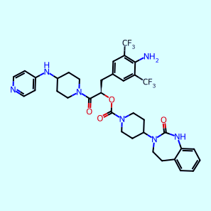 Nc1c(C(F)(F)F)cc(C[C@@H](OC(=O)N2CCC(N3CCc4ccccc4NC3=O)CC2)C(=O)N2CCC(Nc3ccncc3)CC2)cc1C(F)(F)F